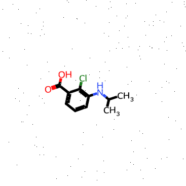 CC(C)Nc1cccc(C(=O)O)c1Cl